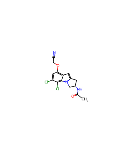 CC(=O)N[C@H]1Cc2cc3c(OCC#N)cc(Cl)c(Cl)c3n2C1